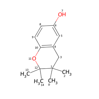 CC1(C)Cc2cc(O)ccc2OC1(C)C